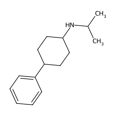 CC(C)NC1CCC(c2ccccc2)CC1